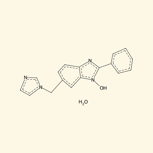 O.On1c(-c2ccccc2)nc2ccc(Cn3ccnc3)cc21